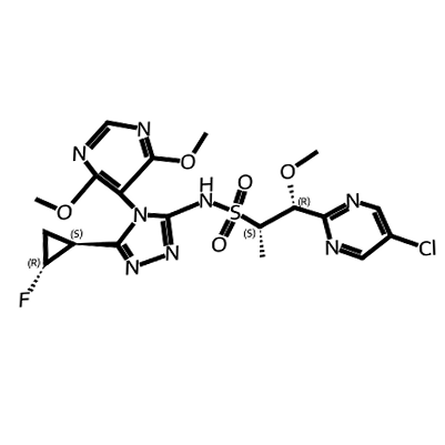 COc1ncnc(OC)c1-n1c(NS(=O)(=O)[C@@H](C)[C@H](OC)c2ncc(Cl)cn2)nnc1[C@@H]1C[C@H]1F